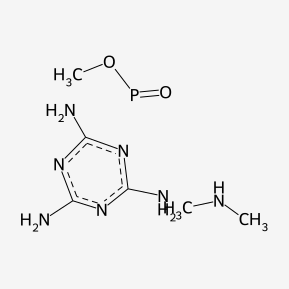 CNC.COP=O.Nc1nc(N)nc(N)n1